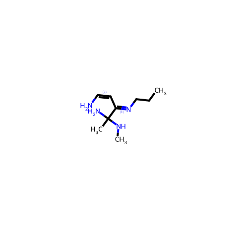 CCC/N=C(\C=C/N)C(C)(N)NC